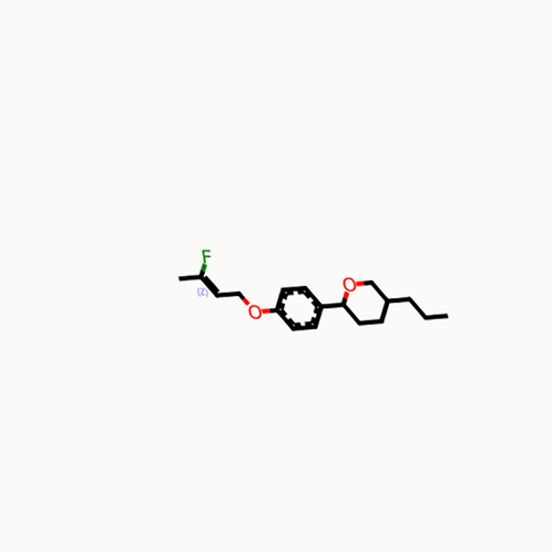 CCCC1CCC(c2ccc(OC/C=C(/C)F)cc2)OC1